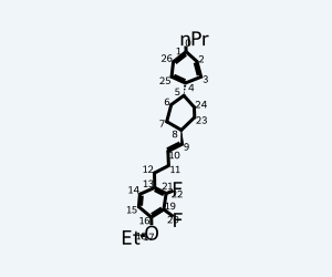 CCCc1ccc([C@H]2CC[C@H](C=CCCc3ccc(OCC)c(F)c3F)CC2)cc1